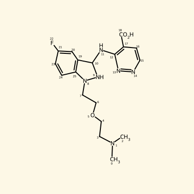 CN(C)CCOCCN1NC(Nc2nnccc2C(=O)O)c2cc(F)ccc21